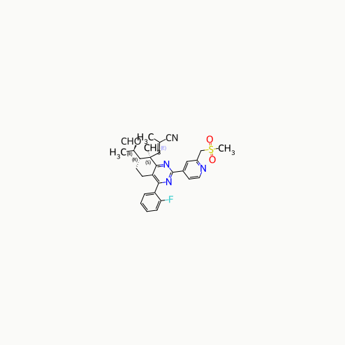 C/C(C#N)=C\[C@@]1(C)c2nc(-c3ccnc(CS(C)(=O)=O)c3)nc(-c3ccccc3F)c2CC[C@@H]1[C@@H](C)C=O